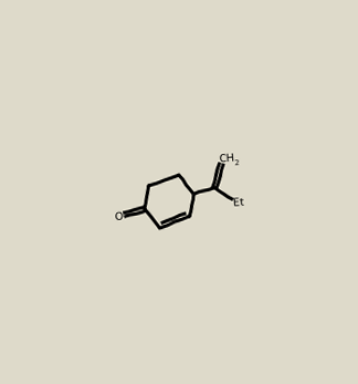 C=C(CC)C1C=CC(=O)CC1